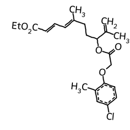 C=C(C)C(CCC(C)=CC=CC(=O)OCC)OC(=O)COc1ccc(Cl)cc1C